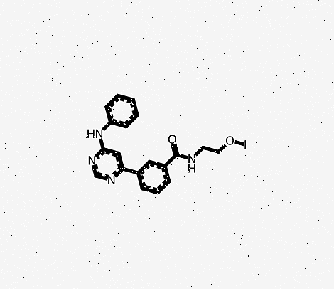 O=C(NCCOI)c1cccc(-c2cc(Nc3ccccc3)ncn2)c1